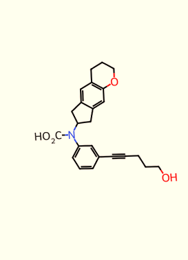 O=C(O)N(c1cccc(C#CCCCO)c1)C1Cc2cc3c(cc2C1)OCCC3